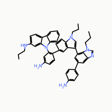 CCCNc1ccc2c3ccccc3n(-c3cc(N)ccc3-c3ccc4c(c3)c(-c3cc(-c5ccc(N)cc5)cc5ncn(CCC)c35)cn4CCC)c2c1